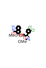 COC(=O)N(C)C[C@@H](CCO)c1ccc(Cl)c(Cl)c1.COc1c(C#N)cc2ccccc2c1C(N)=O